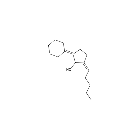 CCCCC=C1CCC(=C2CCCCC2)C1O